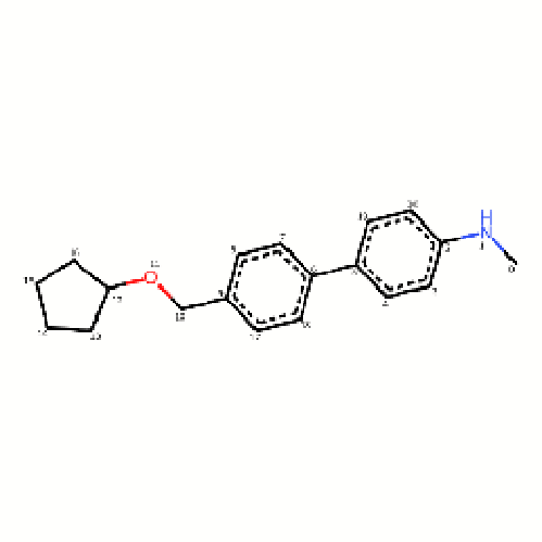 CNc1ccc(-c2ccc(COC3CCCC3)cc2)cc1